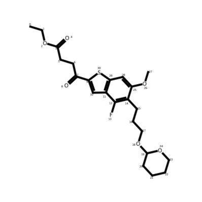 CCOC(=O)CCC(=O)c1cc2c(F)c(CCCOC3CCCCO3)c(OC)cc2s1